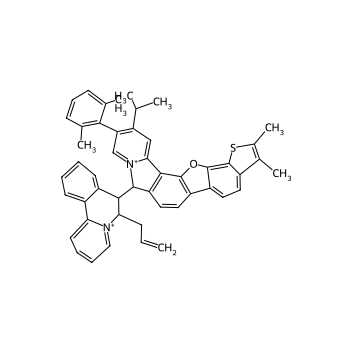 C=CCC1C(C2c3ccc4c(oc5c4ccc4c(C)c(C)sc45)c3-c3cc(C(C)C)c(-c4c(C)cccc4C)c[n+]32)c2ccccc2-c2cccc[n+]21